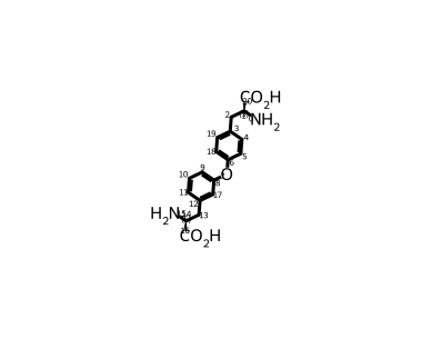 N[C@@H](Cc1ccc(Oc2cccc(C[C@H](N)C(=O)O)c2)cc1)C(=O)O